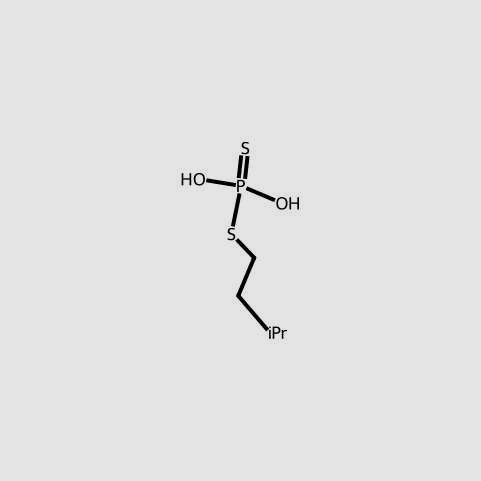 CC(C)CCSP(O)(O)=S